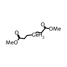 COC(=O)C[CH2][GeH2][CH2]CC(=O)OC